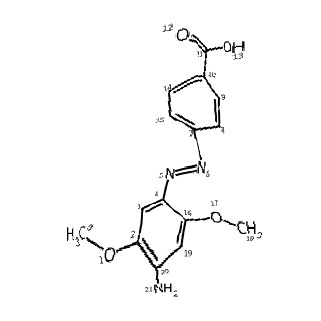 COc1cc(/N=N/c2ccc(C(=O)O)cc2)c(OC)cc1N